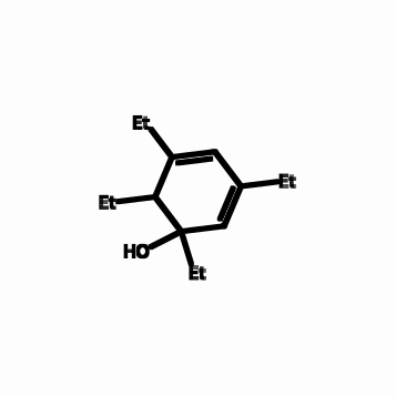 CCC1=CC(O)(CC)C(CC)C(CC)=C1